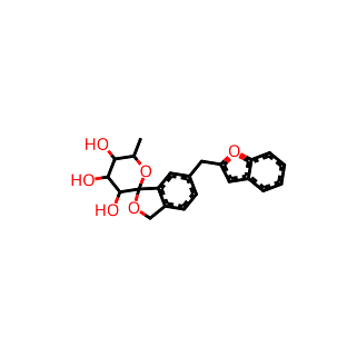 CC1OC2(OCc3ccc(Cc4cc5ccccc5o4)cc32)C(O)C(O)C1O